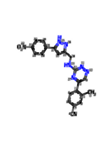 Cc1cc(C#N)ccc1-c1cnnc(NCc2cc(-c3ccc([N+](=O)[O-])cc3)[nH]n2)n1